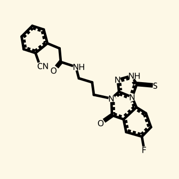 N#Cc1ccccc1CC(=O)NCCCn1c(=O)c2cc(F)ccc2n2c(=S)[nH]nc12